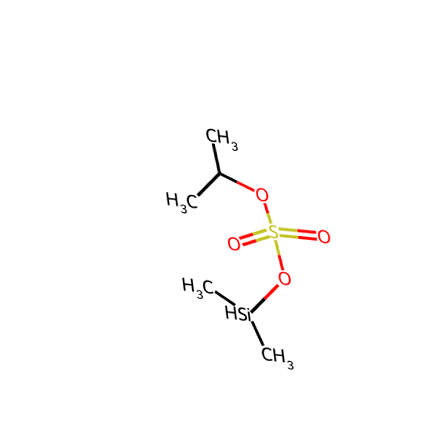 CC(C)OS(=O)(=O)O[SiH](C)C